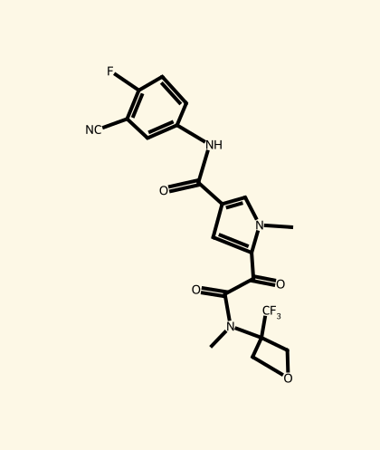 CN(C(=O)C(=O)c1cc(C(=O)Nc2ccc(F)c(C#N)c2)cn1C)C1(C(F)(F)F)COC1